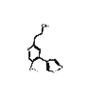 Cc1cnc(CCO)cc1-c1cnoc1